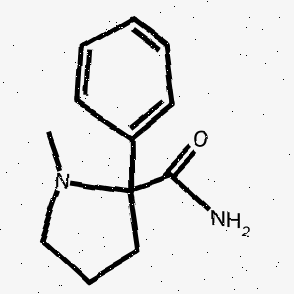 CN1CCCC1(C(N)=O)c1ccccc1